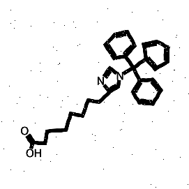 O=C(O)CCCCCCCc1cn(C(c2ccccc2)(c2ccccc2)c2ccccc2)cn1